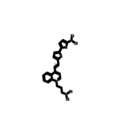 CCN(CC)CCC[n+]1ccc(/C=C/c2ccc(-c3ccc(N(CC)CC)s3)s2)c2ccccc21